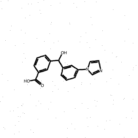 O=C(O)c1cccc(C(O)c2cccc(-n3ccnc3)c2)c1